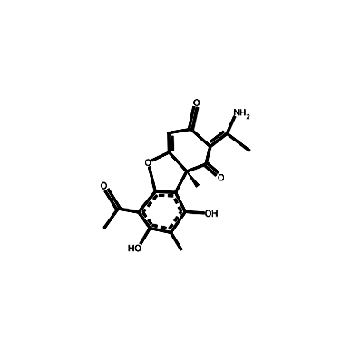 CC(=O)c1c(O)c(C)c(O)c2c1OC1=CC(=O)/C(=C(/C)N)C(=O)[C@@]12C